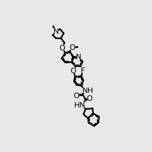 COc1c(OCC2CCN(C)CC2)ccc2c(Oc3ccc(NC(=O)C(=O)NC4Cc5ccccc5C4)cc3F)ccnc12